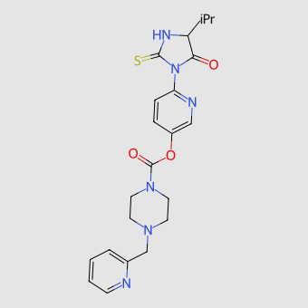 CC(C)C1NC(=S)N(c2ccc(OC(=O)N3CCN(Cc4ccccn4)CC3)cn2)C1=O